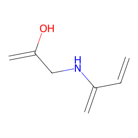 C=CC(=C)NCC(=C)O